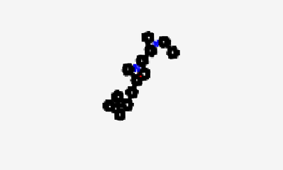 c1ccc(-c2cccc(-n3c4ccccc4c4cc(-c5ccc6c(c5)c5ccccc5n6-c5ccccc5-c5cccc(-c6ccc(-c7cccc(C8(c9ccccc9)c9ccccc9-c9ccccc98)c7)cc6)c5)ccc43)c2)cc1